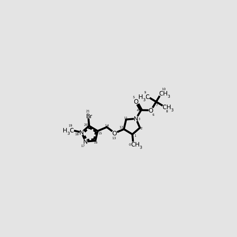 CC1CN(C(=O)OC(C)(C)C)CC1OCc1cnn(C)c1Br